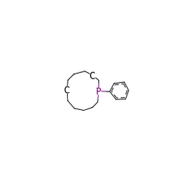 c1ccc(P2CCCCCCCCCCC2)cc1